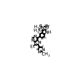 CCn1c(-c2cnc(C)nc2)nc2c(-c3ccc4c(c3)[C@](C)(N(C)C(C)C)C(=O)N4)ncnc21